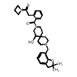 CC(=O)OC1CN(C(=O)c2ccccc2CC(=O)N2CCC2)CCC12CCN(Cc1cccc3c1OC(C)(C)C3)CC2